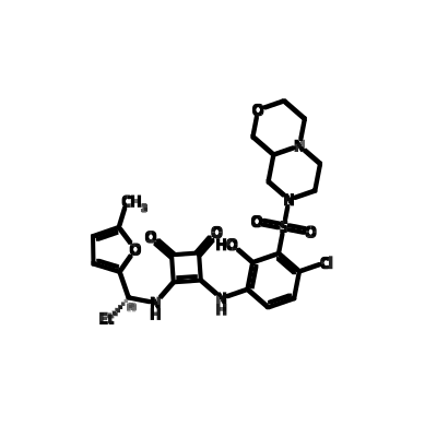 CC[C@@H](Nc1c(Nc2ccc(Cl)c(S(=O)(=O)N3CCN4CCOCC4C3)c2O)c(=O)c1=O)c1ccc(C)o1